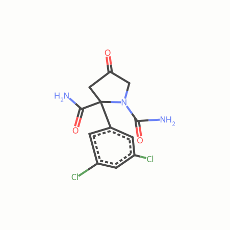 NC(=O)N1CC(=O)CC1(C(N)=O)c1cc(Cl)cc(Cl)c1